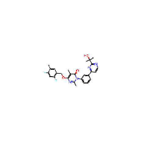 Cc1cc(COc2nc(C)n(-c3cccc(-c4ccnc(C(C)(C)O)n4)c3)c(=O)c2C)c(F)cc1F